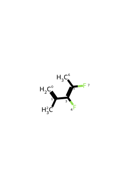 C=C(C)/C(F)=C(\C)F